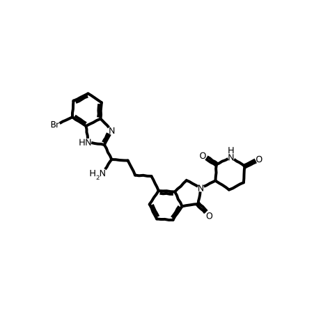 NC(CCCc1cccc2c1CN(C1CCC(=O)NC1=O)C2=O)c1nc2cccc(Br)c2[nH]1